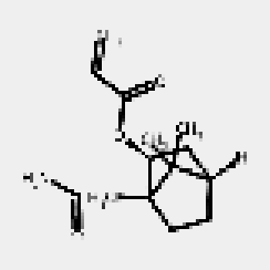 C=CC(=O)O[C@H]1C[C@@H]2CC[C@@]1(C)C2(C)C.NC=O